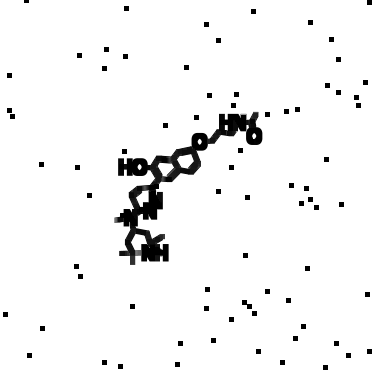 CC(=O)NCCCOc1ccc2cc(-c3ccc(N(C)C4CC(C)(C)NC(C)(C)C4)nn3)c(O)cc2c1